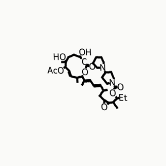 CCC(OC(=O)N1CCC(N2CCCCC2)CC1)C(C)C1OC1CC(C)/C=C/C=C(\C)C1OC(=O)CC(O)CCC(C)(O)C(OC(C)=O)/C=C/C1C